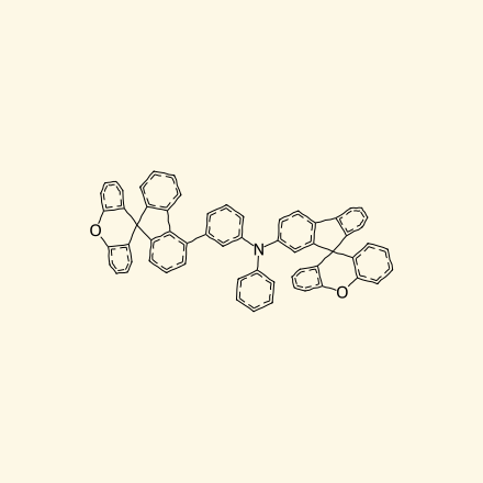 c1ccc(N(c2cccc(-c3cccc4c3-c3ccccc3C43c4ccccc4Oc4ccccc43)c2)c2ccc3c(c2)C2(c4ccccc4Oc4ccccc42)c2ccccc2-3)cc1